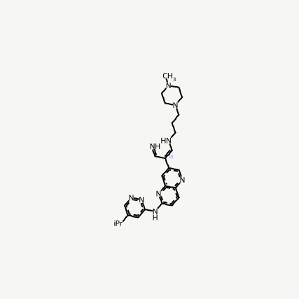 CC(C)c1cnnc(Nc2ccc3ncc(/C(C=N)=C/NCCCN4CCN(C)CC4)cc3n2)c1